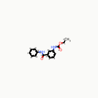 CCOC(=O)Nc1cccc(C(=O)Nc2ccccc2)c1